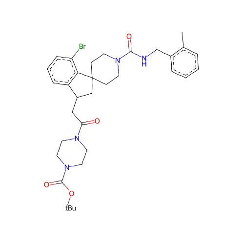 Cc1ccccc1CNC(=O)N1CCC2(CC1)CC(CC(=O)N1CCN(C(=O)OC(C)(C)C)CC1)c1cccc(Br)c12